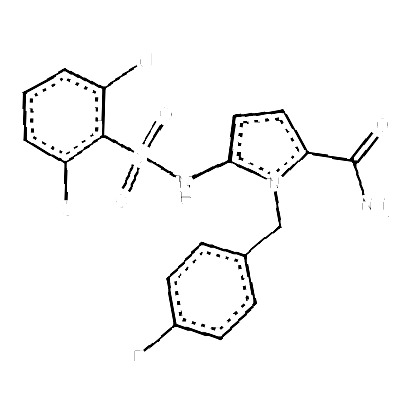 NC(=O)c1ccc(NS(=O)(=O)c2c(Cl)cccc2Cl)n1Cc1ccc(F)cc1